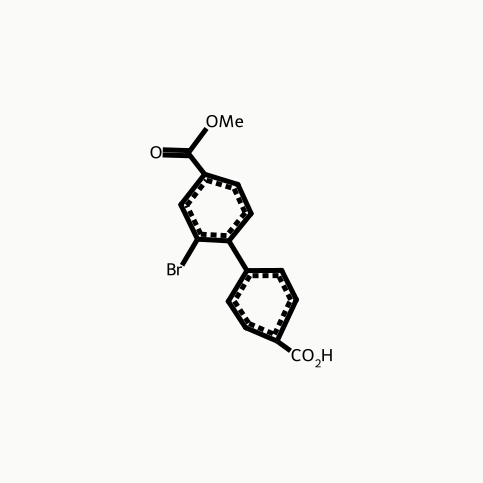 COC(=O)c1ccc(-c2ccc(C(=O)O)cc2)c(Br)c1